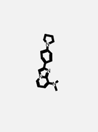 CN(C)c1cccn2cc(-c3ccc(N4CCCC4)cc3)nc12